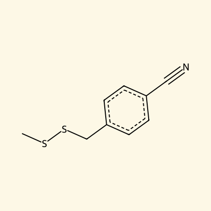 CSSCc1ccc(C#N)cc1